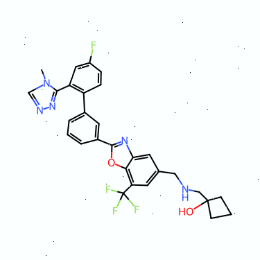 Cn1cnnc1-c1cc(F)ccc1-c1cccc(-c2nc3cc(CNCC4(O)CCC4)cc(C(F)(F)F)c3o2)c1